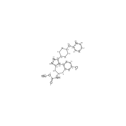 CC(C)(C)OC(=O)NC1Cc2cc(Cl)ccc2-n2c(nnc2C2CCC(Oc3ccccn3)CC2)C1